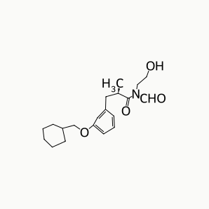 C[C@H](Cc1cccc(OCC2CCCCC2)c1)C(=O)N(C=O)CCO